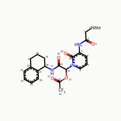 CNCC(=O)Nc1cccn(C(OC(=O)C(F)(F)F)C(=O)NC2CCCc3ccccc32)c1=O